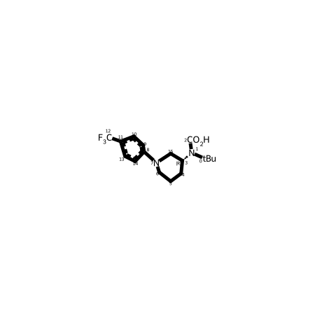 CC(C)(C)N(C(=O)O)[C@@H]1CCCN(c2ccc(C(F)(F)F)cc2)C1